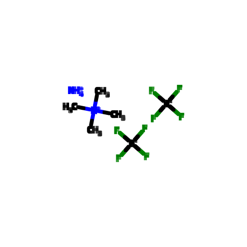 C[N+](C)(C)C.F[B-](F)(F)F.F[B-](F)(F)F.[NH4+]